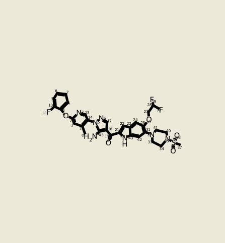 Cc1cc(Oc2ccccc2F)ncc1-n1ncc(C(=O)c2cc3cc(OCC(F)F)c(N4CCN(S(C)(=O)=O)CC4)cc3[nH]2)c1N